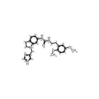 COc1ccc(OC)c(CCNC(=O)Nc2ccc3c(c2)N(Cc2c[nH]cn2)CC3)c1